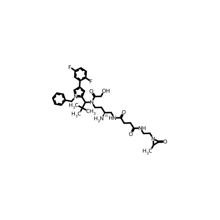 CC1C(=O)N1CCNC(=O)CCC(=O)NC[C@@H](N)CCN(C(=O)CO)C(c1cc(-c2cc(F)ccc2F)cn1Cc1ccccc1)C(C)(C)C